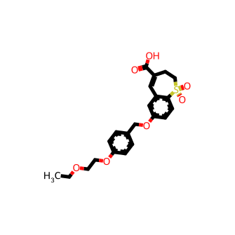 CCOCCOc1ccc(COc2ccc3c(c2)C=C(C(=O)O)CCS3(=O)=O)cc1